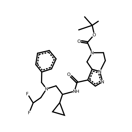 CC(C)(C)OC(=O)N1CCn2ncc(C(=O)NC(CN(Cc3ccccc3)CC(F)F)C3CC3)c2C1